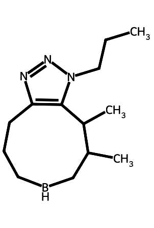 CCCn1nnc2c1C(C)C(C)CBCCC2